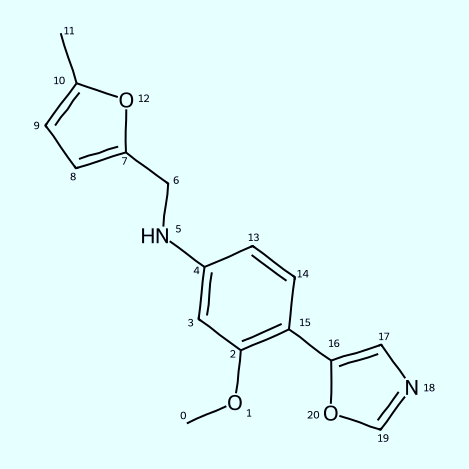 COc1cc(NCc2ccc(C)o2)ccc1-c1cnco1